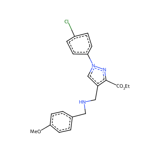 CCOC(=O)c1nn(-c2ccc(Cl)cc2)cc1CNCc1ccc(OC)cc1